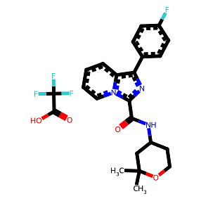 CC1(C)CC(NC(=O)c2nc(-c3ccc(F)cc3)c3ccccn23)CCO1.O=C(O)C(F)(F)F